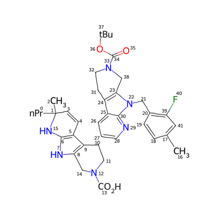 CCCC1(C)C=Cc2c([nH]c3c2CCN(C(=O)O)C3)N1.Cc1ccc(Cn2c3c(c4cccnc42)CCN(C(=O)OC(C)(C)C)C3)c(F)c1